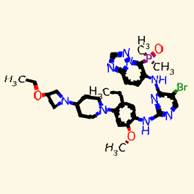 CCOC1CN(C2CCN(c3cc(OC)c(Nc4ncc(Br)c(Nc5ccc6ncnn6c5P(C)(C)=O)n4)cc3CC)CC2)C1